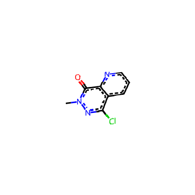 Cn1nc(Cl)c2cccnc2c1=O